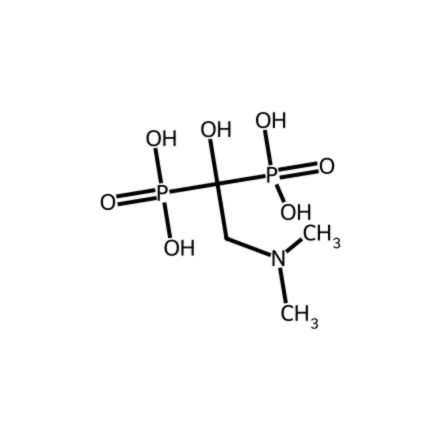 CN(C)CC(O)(P(=O)(O)O)P(=O)(O)O